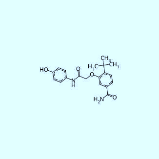 CC(C)(C)c1ccc(C(N)=O)cc1OCC(=O)Nc1ccc(O)cc1